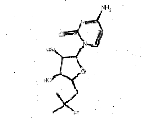 CCC(C)(C)CC1OC(n2ccc(N)nc2=O)C(C(C)(C)C)C1O